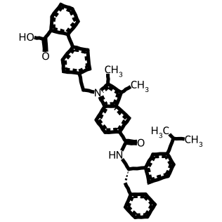 Cc1c(C)n(Cc2ccc(-c3ccccc3C(=O)O)cc2)c2ccc(C(=O)N[C@@H](Cc3ccccc3)c3cccc(C(C)C)c3)cc12